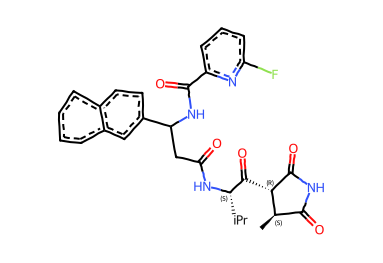 CC(C)[C@H](NC(=O)CC(NC(=O)c1cccc(F)n1)c1ccc2ccccc2c1)C(=O)[C@@H]1C(=O)NC(=O)[C@H]1C